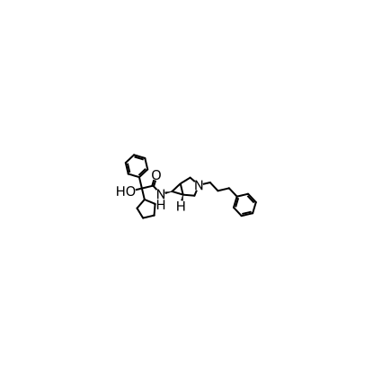 O=C(N[C@H]1C2CN(CCCc3ccccc3)C[C@@H]21)C(O)(c1ccccc1)C1CCCC1